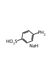 O=S(=O)(O)c1ccc(P)cc1.[NaH]